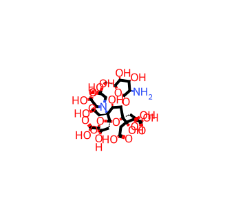 N[C@H]1[C@H](O[C@H]2[C@H](O)[C@@](CC(=O)O)(N(CC(=O)O)CC(=O)O)[C@](CC(=O)O)(OCC(=O)O)O[C@]2(CC(=O)O)C(O)(CC(=O)O)CC(=O)O)O[C@H](CO)[C@@H](O)[C@@H]1O